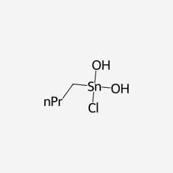 CCC[CH2][Sn]([OH])([OH])[Cl]